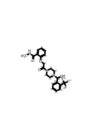 CNC(=O)c1ccccc1OCC(=O)N1CCN(C(O)c2ccccc2C(F)(F)F)CC1